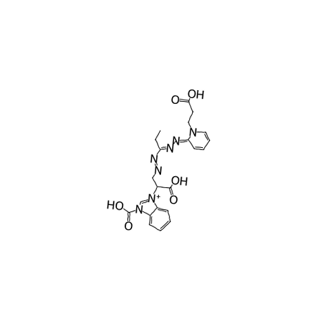 CCC(N=NCC(C(=O)O)[n+]1cn(C(=O)O)c2ccccc21)=NN=c1ccccn1CCC(=O)O